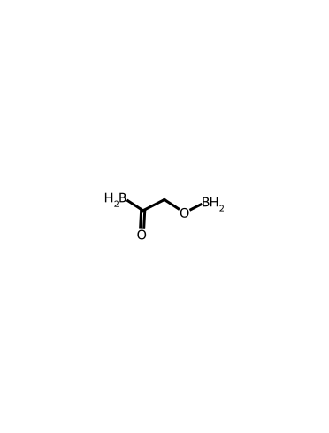 BOCC(B)=O